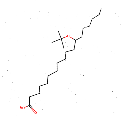 CCCCCCC(CCCCCCCCCCC(=O)O)OC(C)(C)C